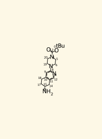 CC(C)(C)OC(=O)N1CCN(c2cc3c(cn2)C[C@@H](N)CC3)CC1